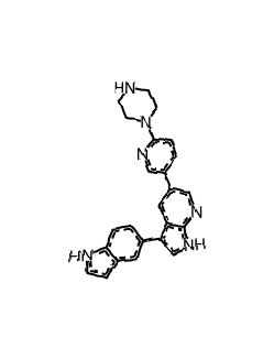 c1cc2cc(-c3c[nH]c4ncc(-c5ccc(N6CCNCC6)nc5)cc34)ccc2[nH]1